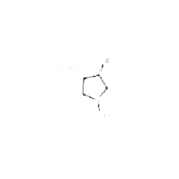 N[C@H]1CN(C(=O)O)C[C@@H]1N